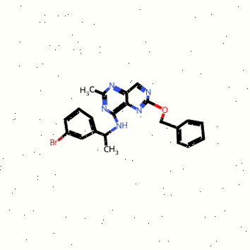 Cc1nc(NC(C)c2cccc(Br)c2)c2nc(OCc3ccccc3)ncc2n1